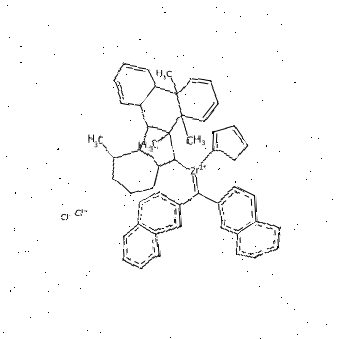 CC1CCCC2C1C1C3C=CC=CC3C3(C)C=CC=CC3(C)C1(C)[CH]2[Zr+2]([C]1=CC=CC1)=[C](c1ccc2ccccc2c1)c1ccc2ccccc2c1.[Cl-].[Cl-]